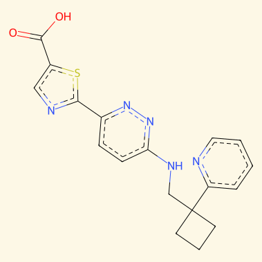 O=C(O)c1cnc(-c2ccc(NCC3(c4ccccn4)CCC3)nn2)s1